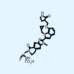 Cn1c(-c2cc3cccc(OCC4CCNC4=O)c3n2CC2CC2)nc2cc3c(cc21)CCN(C[C@@H](CF)NC(=O)O)C3=O